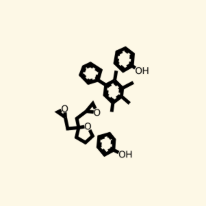 C1COC(CC2CO2)(CC2CO2)C1.Cc1cc(-c2ccccc2)c(C)c(C)c1C.Oc1ccccc1.Oc1ccccc1